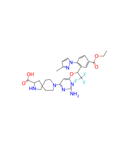 CCOC(=O)c1ccc(-n2ccc(C)n2)c(C(Oc2cc(N3CCC4(CC3)CNC(C(=O)O)C4)nc(N)n2)C(F)(F)F)c1